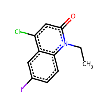 CCn1c(=O)cc(Cl)c2cc(I)ccc21